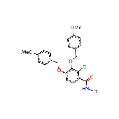 CCNC(=O)c1ccc(OCc2ccc(OC)cc2)c(OCc2ccc(OC)cc2)c1Cl